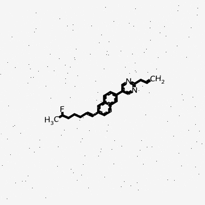 C=CCc1ncc(-c2ccc3cc(C=CCCCC(C)F)ccc3c2)cn1